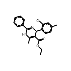 CCOC(=O)C1=C(C)NC(c2cccnc2)=NC1c1ccc(F)cc1Cl